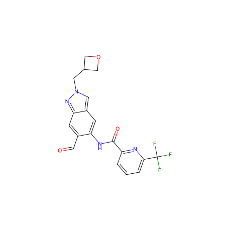 O=Cc1cc2nn(CC3COC3)cc2cc1NC(=O)c1cccc(C(F)(F)F)n1